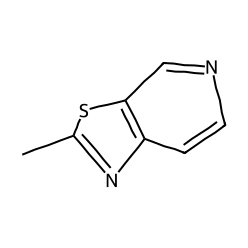 Cc1nc2ccncc2s1